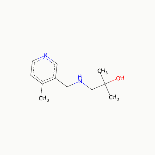 Cc1ccncc1CNCC(C)(C)O